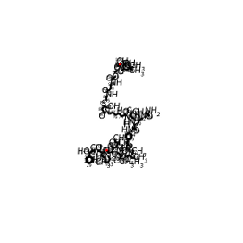 CC[C@H](C)[C@@H]([C@@H](CC(=O)N1CCC[C@H]1[C@H](OC)[C@@H](C)C(=O)N[C@H](C)[C@@H](O)c1ccccc1)OC)N(C)C(=O)[C@@H](NC(=O)[C@H](C(C)C)N(C)C(=O)OCc1ccc(NC(=O)[C@H](CCCNC(N)=O)NC(=O)[C@@H](NC(=O)CCCCCN2C(=O)CC(SCCNC(=O)CCNC(=O)OCC(OC(C)C)OC(CO)CC(C)(C)C)C2O)C(C)C)cc1)C(C)C